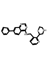 c1ccc(-c2ccc3c(NCc4cccnc4C4CNCCO4)ncnc3c2)cc1